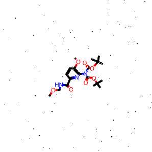 COCNC(=O)c1ccc(OC)c(N(C(=O)OC(C)(C)C)C(=O)OC(C)(C)C)n1